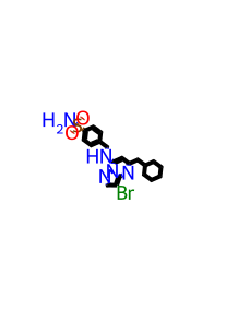 NS(=O)(=O)c1ccc(CNc2cc(CC3CCCCC3)nc3c(Br)cnn23)cc1